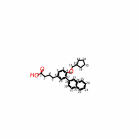 O=C(O)CCCc1ccc(OCC2CCCC2)c(-c2ccc3ccccc3c2)c1